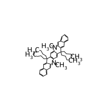 CCCCC1(CCCC)c2cc3c(cc2N(C)c2cc4ccccc4cc21)C(CCCC)(CCCC)c1cc2ccccc2cc1N3C